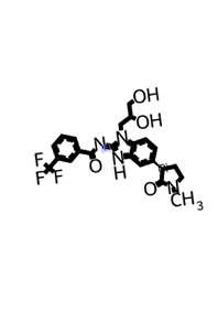 CN1CC[C@H](c2ccc3c(c2)[nH]/c(=N\C(=O)c2cccc(C(F)(F)F)c2)n3CC(O)CO)C1=O